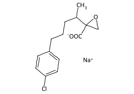 CC(CCCc1ccc(Cl)cc1)C1(C(=O)[O-])CO1.[Na+]